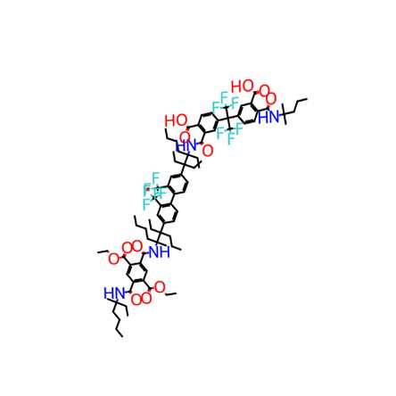 CCCCC(C)(CC)NC(=O)c1cc(C(=O)OCC)c(C(=O)NC(C)(CCCC)C(CC)(CCC)c2ccc(-c3ccc(C(CC)(CC)C(CC)(CCCC)NC(=O)c4cc(C(c5ccc(C(=O)NC(C)(C)CCC)c(C(=O)O)c5)(C(F)(F)F)C(F)(F)F)ccc4C(=O)O)cc3C(F)(F)F)c(C(F)(F)F)c2)cc1C(=O)OCC